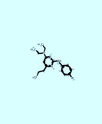 CCCc1cc(N(CC)CC)nc(Nc2ccc(Br)cc2)n1